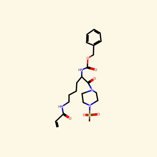 C=CC(=O)NCCCCC(NC(=O)OCc1ccccc1)C(=O)N1CCN(S(C)(=O)=O)CC1